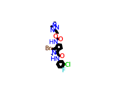 Cn1cnc(COC(=O)NC2CCc3c2c(Br)n(C)c3C(=O)Nc2ccc(F)c(Cl)c2)n1